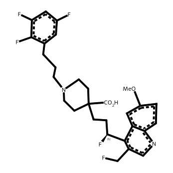 COc1ccc2ncc(CF)c([C@@H](F)CCC3(C(=O)O)CCN(CCCc4cc(F)cc(F)c4F)CC3)c2c1